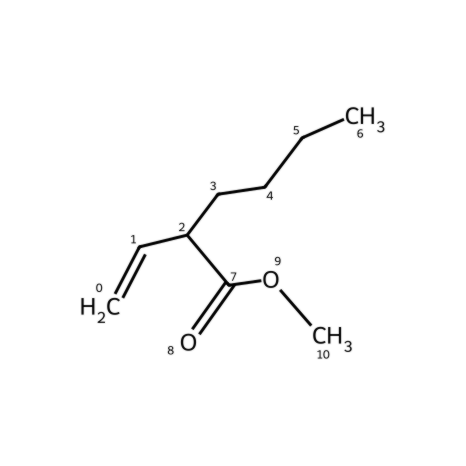 C=CC(CCCC)C(=O)OC